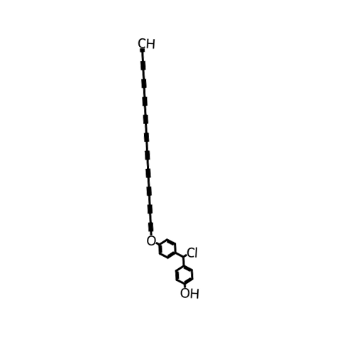 C#CC#CC#CC#CC#CC#CC#CC#CC#CC#CC#COc1ccc(C(Cl)c2ccc(O)cc2)cc1